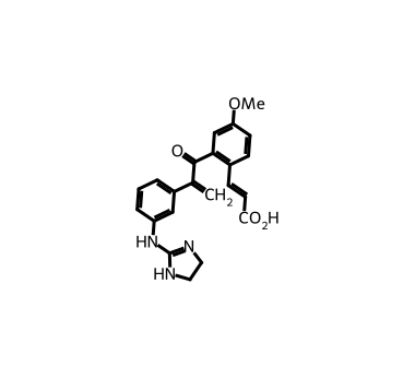 C=C(C(=O)c1cc(OC)ccc1C=CC(=O)O)c1cccc(NC2=NCCN2)c1